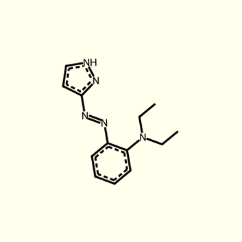 CCN(CC)c1ccccc1N=Nc1cc[nH]n1